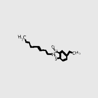 CCCCCCCCN1Sc2ccc(CC)cc2[S+]1[O-]